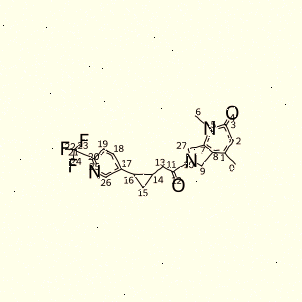 Cc1cc(=O)n(C)c2c1CN(C(=O)CC1CC1c1ccc(C(F)(F)F)nc1)C2